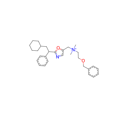 C[N+](C)(CCOCc1ccccc1)Cc1cnc(C(CC2CCCCC2)c2ccccc2)o1